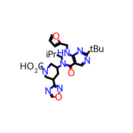 CC(C)CN(C(=O)c1cnc(C(C)(C)C)nc1NCc1ccco1)C1CC(c2ncon2)CN(C(=O)O)C1